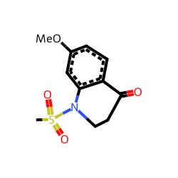 COc1ccc2c(c1)N(S(C)(=O)=O)CCC2=O